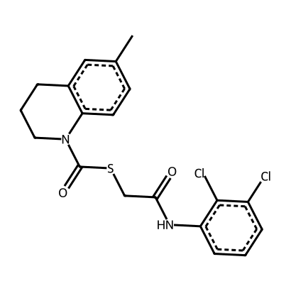 Cc1ccc2c(c1)CCCN2C(=O)SCC(=O)Nc1cccc(Cl)c1Cl